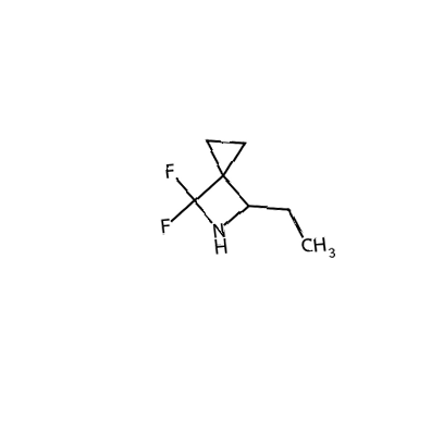 CCC1NC(F)(F)C12CC2